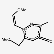 CO/C=C\n1nc(C)c(=O)cc1COC